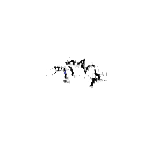 CCC[C@H](NC(=O)[C@@H](NC(=O)C(N)CCCCN)[C@@H](O)CN)C(=O)NCC(=O)N[C@H](CCCN)C(=O)N1CCC[C@H]1C(=O)NC(Cc1cnc[nH]1)C(=O)N[C@@H](CCCCN)C(=O)N/C(=C\CCNC(=N)N)C(=O)N[C@@H](CCCCN)C(=O)NCCCCN